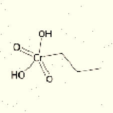 CC[CH2][Cr](=[O])(=[O])([OH])[OH]